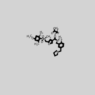 COc1cc(C)c(S(=O)(=O)N(C)Cc2cc(C(=O)N(C)Cc3cc(CN4CCCC4)ccc3F)co2)c(C)c1.O=C(O)C(F)(F)F